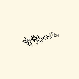 COc1cc(N2CCC(N3CC[P](C)(O)CC3)CC2)ccc1Nc1nnc(Cl)c(Nc2ccccc2S(=O)(=O)C(C)C)n1